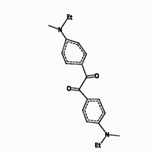 CCN(C)c1ccc(C(=O)C(=O)c2ccc(N(C)CC)cc2)cc1